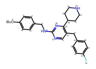 CC(C)COc1ccc(CNc2ncc(Cc3ccc(F)cc3)c(C3CCNCC3)n2)cc1